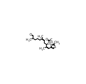 CC(=O)OC(CC=C(C)CCCC(C)C=O)C(C)=Cc1csc(C)n1